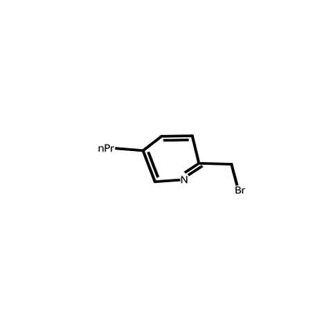 CCCc1ccc(CBr)nc1